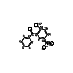 O=C(c1ccccc1)c1cc([N+](=O)[O-])ccc1Cl